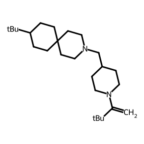 C=C(N1CCC(CN2CCC3(CCC(C(C)(C)C)CC3)CC2)CC1)C(C)(C)C